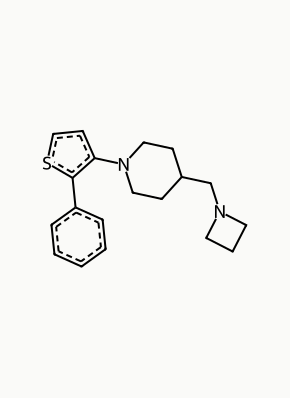 c1ccc(-c2sccc2N2CCC(CN3CCC3)CC2)cc1